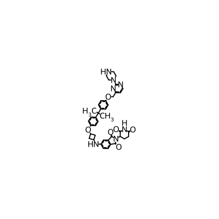 CC(C)(c1ccc(OCc2ccnc(N3CCNCC3)n2)cc1)c1ccc(OC2CC(Nc3ccc4c(c3)C(=O)N(C3CCC(=O)NC3=O)C4=O)C2)cc1